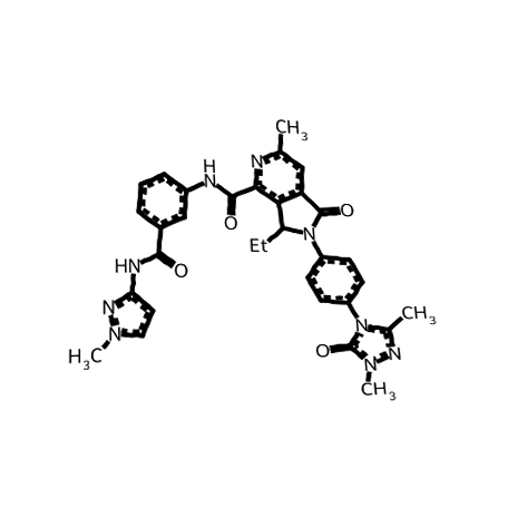 CCC1c2c(cc(C)nc2C(=O)Nc2cccc(C(=O)Nc3ccn(C)n3)c2)C(=O)N1c1ccc(-n2c(C)nn(C)c2=O)cc1